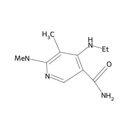 CCNc1c(C(N)=O)cnc(NC)c1C